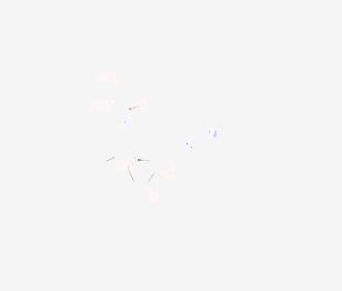 C=C(O)[C@]1(C)CN(C(=O)[C@@H](O)CO)C[C@H]1c1ccc(OC)c(OC2CN(C3CCC(C(C)C)N3)C2)c1